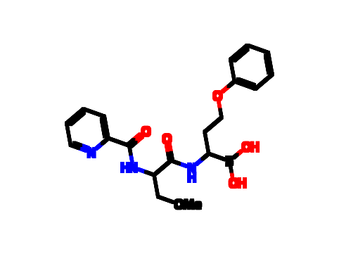 COCC(NC(=O)c1ccccn1)C(=O)NC(CCOc1ccccc1)B(O)O